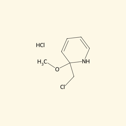 COC1(CCl)C=CC=CN1.Cl